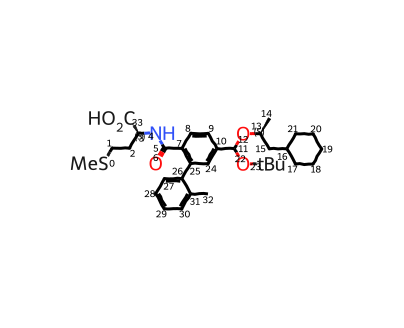 CSCC[C@H](NC(=O)c1ccc(C(O[C@@H](C)CC2CCCCC2)OC(C)(C)C)cc1-c1ccccc1C)C(=O)O